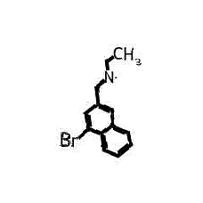 CC[N]Cc1cc(Br)c2ccccc2c1